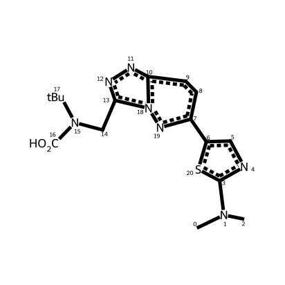 CN(C)c1ncc(-c2ccc3nnc(CN(C(=O)O)C(C)(C)C)n3n2)s1